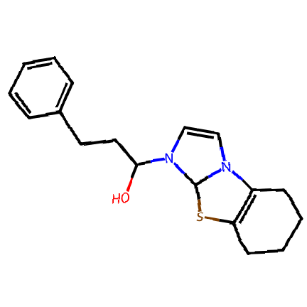 OC(CCc1ccccc1)N1C=CN2C3=C(CCCC3)SC21